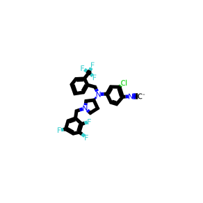 [C-]#[N+]c1ccc(N(Cc2ccccc2C(F)(F)F)[C@H]2CCN(Cc3cc(F)cc(F)c3F)C2)cc1Cl